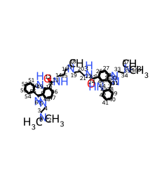 CN(C)CCn1nc2c3c(c(C(=O)NCCCN(C)CCCNC(=O)c4ccc5c6c(nn5CCN(C)C)-c5ccccc5Nc46)ccc31)Nc1ccccc1-2